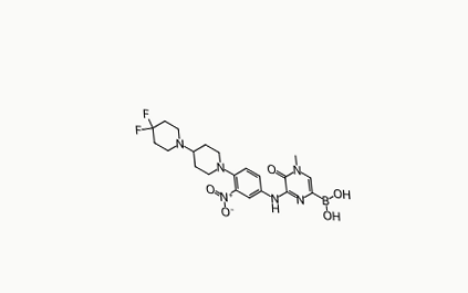 Cn1cc(B(O)O)nc(Nc2ccc(N3CCC(N4CCC(F)(F)CC4)CC3)c([N+](=O)[O-])c2)c1=O